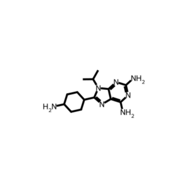 CC(C)n1c(C2CCC(N)CC2)nc2c(N)nc(N)nc21